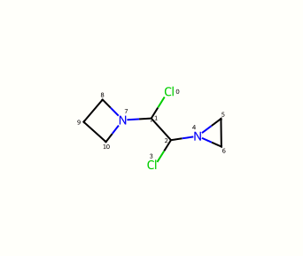 Cl[C](C(Cl)N1CC1)N1CCC1